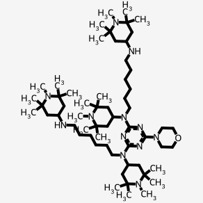 CN1C(C)(C)CC(NCCCCCCN(c2nc(N3CCOCC3)nc(N(CCCCCCNC3CC(C)(C)N(C)C(C)(C)C3)C3CC(C)(C)N(C)C(C)(C)C3)n2)C2CC(C)(C)N(C)C(C)(C)C2)CC1(C)C